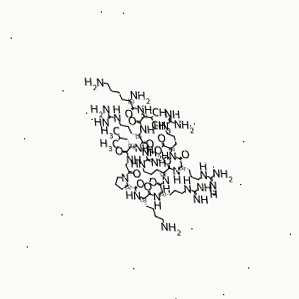 CC(C)C[C@H](NC(=O)[C@H](CCCNC(=N)N)NC(=O)[C@@H](NC(=O)[C@@H](N)CCCCN)C(C)C)C(=O)NCC(=O)N1CCC[C@H]1C(=O)N[C@@H](CCCCN)C(=O)N[C@@H](CCCNC(=N)N)C(=O)N[C@@H](CCCNC(=N)N)C(=O)N[C@@H](CCCNC(=N)N)C(=O)N[C@H](CCCNC(=N)N)C(=O)O